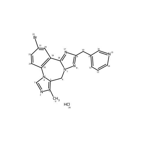 Cc1ncn2c1Cn1nc(Cc3cccnc3)nc1-c1cc(Br)ccc1-2.Cl